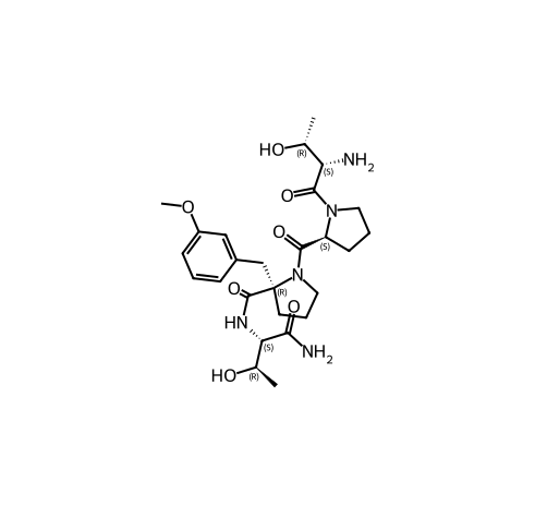 COc1cccc(C[C@@]2(C(=O)N[C@H](C(N)=O)[C@@H](C)O)CCCN2C(=O)[C@@H]2CCCN2C(=O)[C@@H](N)[C@@H](C)O)c1